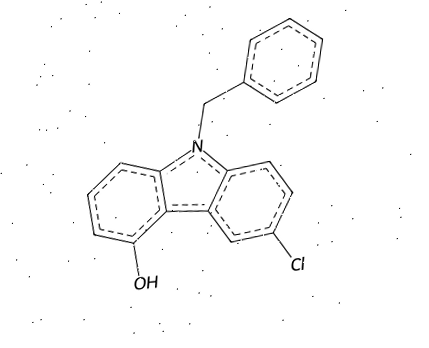 Oc1cccc2c1c1cc(Cl)ccc1n2Cc1ccccc1